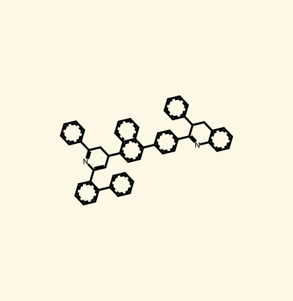 C1=C(c2ccccc2-c2ccccc2)N=C(c2ccccc2)CC1c1ccc(-c2ccc(C3=Nc4ccccc4CC3c3ccccc3)cc2)c2ccccc12